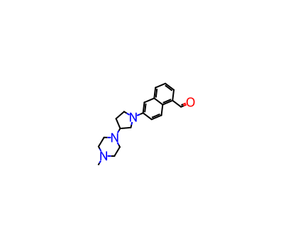 CN1CCN(C2CCN(c3ccc4c(C=O)cccc4c3)C2)CC1